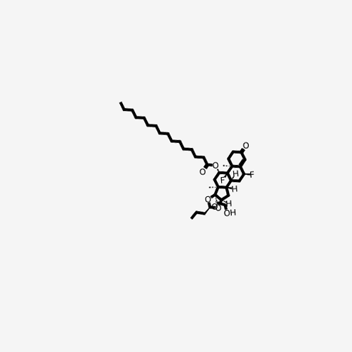 CCCCCCCCCCCCCCCC(=O)O[C@H]1C[C@@]2(C)[C@@H](C[C@H]3O[C@@H](CCC)O[C@]32C(=O)CO)[C@@H]2C[C@H](F)C3=CC(=O)CC[C@]3(C)[C@@]12F